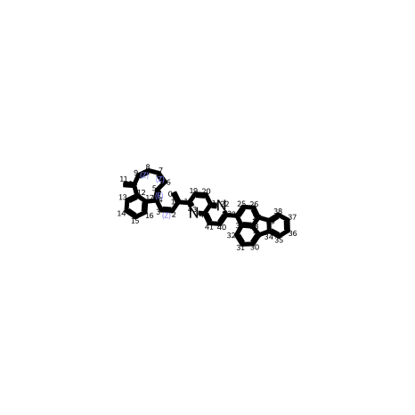 C=C(\C=C/C1=C\C=C/C=C\C(=C)c2ccccc21)c1ccc2nc(-c3ccc4c5c(cccc35)-c3ccccc3-4)ccc2n1